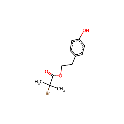 CC(C)(Br)C(=O)OCCc1ccc(O)cc1